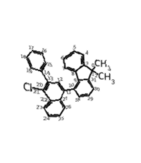 CC1(C)c2ccccc2-c2c(-c3cc(-c4ccccc4)c(Cl)c4ccccc34)cccc21